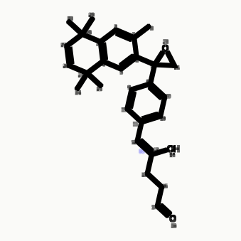 Cc1cc2c(cc1C1(c3ccc(/C=C(\O)CCC=O)cc3)CO1)C(C)(C)C=CC2(C)C